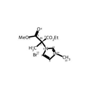 CCOC(=O)[C@@](C)(C(=O)OC)n1cc[n+](C)c1.[Br-]